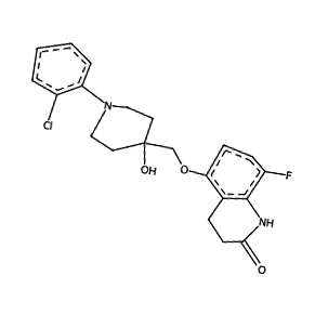 O=C1CCc2c(OCC3(O)CCN(c4ccccc4Cl)CC3)ccc(F)c2N1